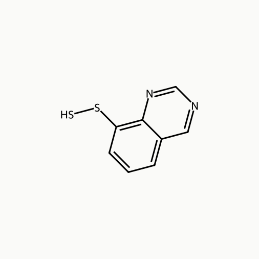 SSc1cccc2cncnc12